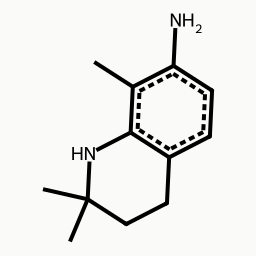 Cc1c(N)ccc2c1NC(C)(C)CC2